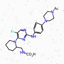 CC(=O)N1CCN(c2ccc(Nc3ncc(F)c(N4CCCCC4CNC(=O)O)n3)cc2)CC1